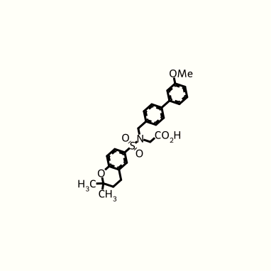 COc1cccc(-c2ccc(CN(CC(=O)O)S(=O)(=O)c3ccc4c(c3)CCC(C)(C)O4)cc2)c1